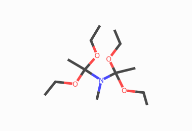 CCOC(C)(OCC)N(C)C(C)(OCC)OCC